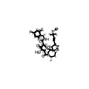 C[C@H]1CC[C@]2(CC(C#CC(C)(C)[S+]=O)=NO2)[C@H]2CN1C(=O)c1c(O)c(=O)c(C(=O)NCc3c(F)cc(F)cc3F)cn12